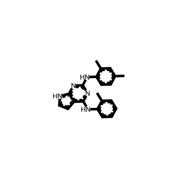 Cc1ccc(Nc2nc(Nc3ccccc3C)c3cc[nH]c3n2)c(C)c1